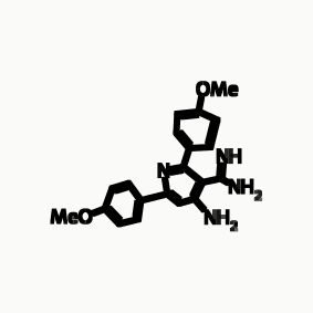 COc1ccc(-c2cc(N)c(C(=N)N)c(-c3ccc(OC)cc3)n2)cc1